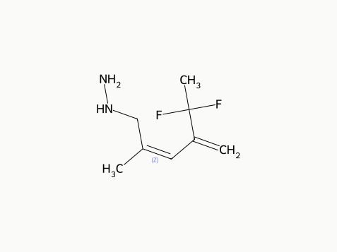 C=C(/C=C(/C)CNN)C(C)(F)F